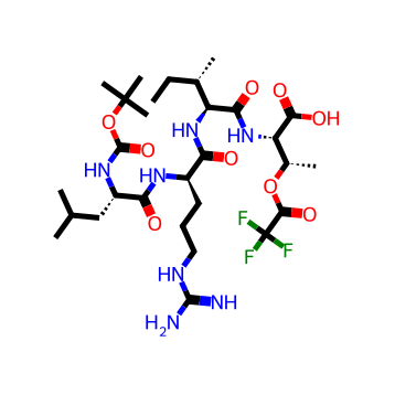 CC[C@H](C)[C@H](NC(=O)[C@@H](CCCNC(=N)N)NC(=O)[C@H](CC(C)C)NC(=O)OC(C)(C)C)C(=O)N[C@H](C(=O)O)[C@H](C)OC(=O)C(F)(F)F